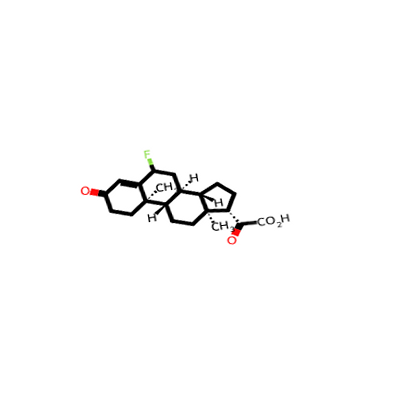 C[C@]12CC[C@H]3[C@@H](CC(F)C4=CC(=O)CC[C@@]43C)[C@@H]1CC[C@@H]2C(=O)C(=O)O